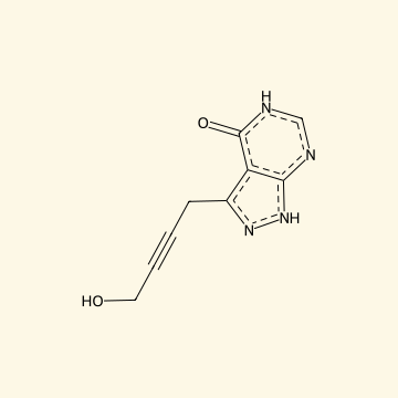 O=c1[nH]cnc2[nH]nc(CC#CCO)c12